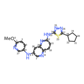 COc1ccc(Nc2cnc3ccc(Nc4nnc(C5CCCC5)s4)nc3c2)cn1